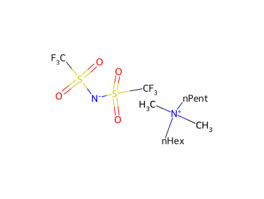 CCCCCC[N+](C)(C)CCCCC.O=S(=O)([N-]S(=O)(=O)C(F)(F)F)C(F)(F)F